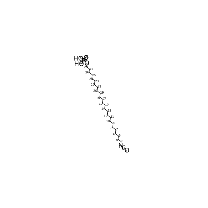 O=C=NCCCCCCCCCCCCCCCCCCCCCCCCCCOP(=O)(O)O